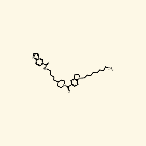 CCCCCCCCCN1CCc2cc(C(=O)N3CCC(CCCCNC(=O)c4ccc5nccn5c4)CC3)ccc21